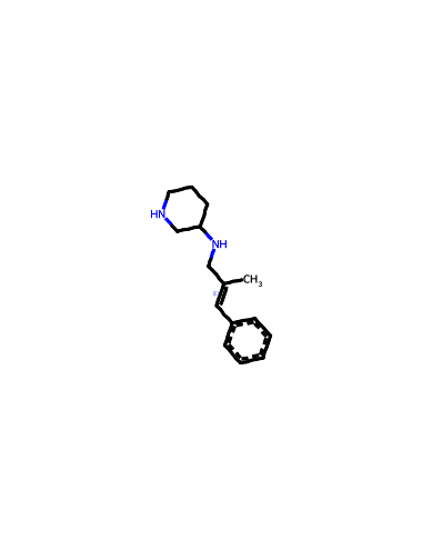 C/C(=C\c1ccccc1)CNC1CCCNC1